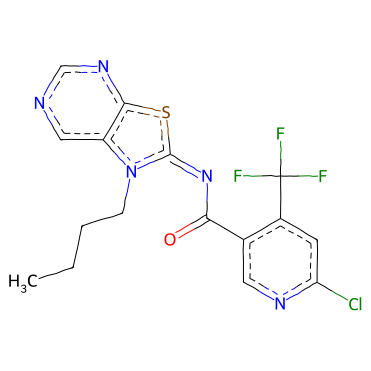 CCCCn1c(=NC(=O)c2cnc(Cl)cc2C(F)(F)F)sc2ncncc21